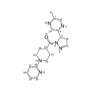 Cc1cnc(C2CC=NN2C(=O)C2CCN(c3ccccn3)CC2)cn1